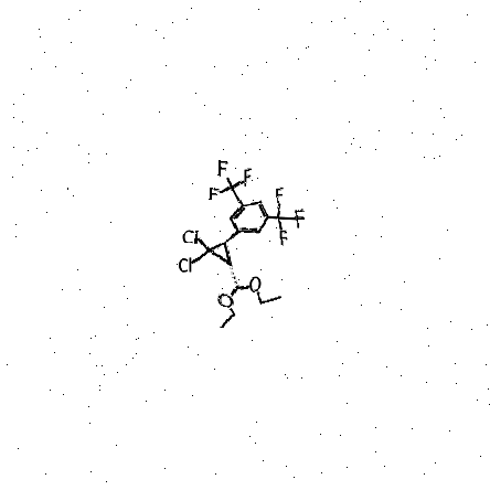 CCOC(OCC)[C@H]1[C@H](c2cc(C(F)(F)F)cc(C(F)(F)F)c2)C1(Cl)Cl